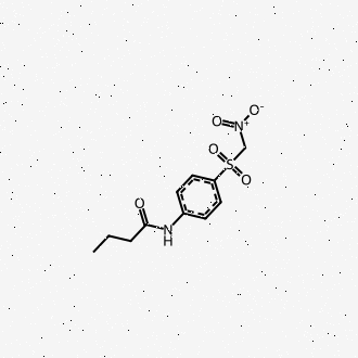 CCCC(=O)Nc1ccc(S(=O)(=O)C[N+](=O)[O-])cc1